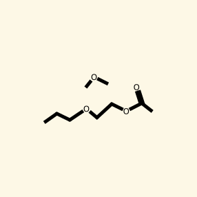 CCCOCCOC(C)=O.COC